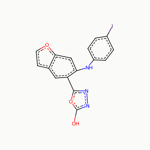 Oc1nnc(-c2cc3ccoc3cc2Nc2ccc(I)cc2)o1